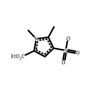 CCOC(=O)c1cc(S(=O)(=O)Cl)c(C)n1C